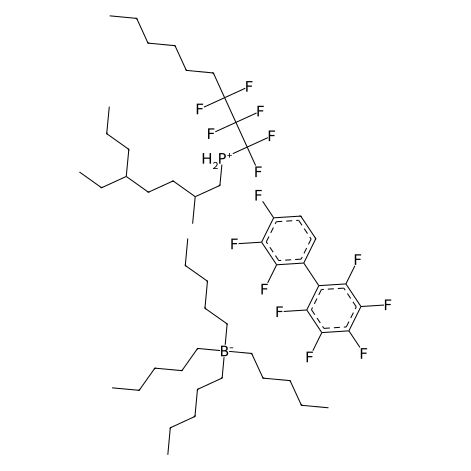 CCCCCCC(F)(F)C(F)(F)C(F)(F)[PH2+]CC(C)CCC(CC)CCC.CCCCC[B-](CCCCC)(CCCCC)CCCCC.Fc1ccc(-c2c(F)c(F)c(F)c(F)c2F)c(F)c1F